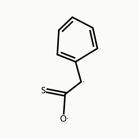 [O]C(=S)[CH]c1ccccc1